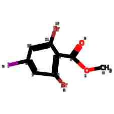 COC(=O)c1c(Br)cc(I)cc1Br